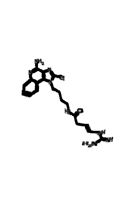 CCc1nc2c(N)nc3ccccc3c2n1CCCCNC(=O)CCCNC(=N)N